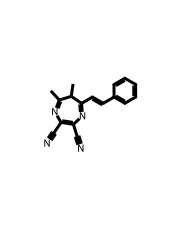 CC1=NC(C#N)=C(C#N)N=C(C=Cc2ccccc2)C1C